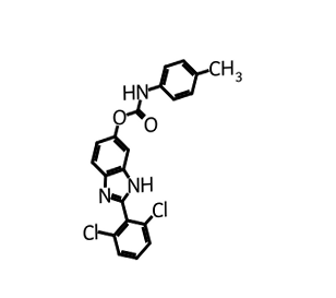 Cc1ccc(NC(=O)Oc2ccc3nc(-c4c(Cl)cccc4Cl)[nH]c3c2)cc1